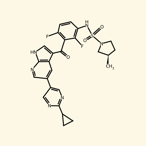 C[C@@H]1CCN(S(=O)(=O)Nc2ccc(F)c(C(=O)c3c[nH]c4ncc(-c5cnc(C6CC6)nc5)cc34)c2F)C1